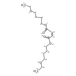 CCOCCCCOC(=O)/C=C\C(=O)OCCCCOCC